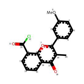 COc1cccc(-c2oc3c(C(=O)Cl)cccc3c(=O)c2C)c1